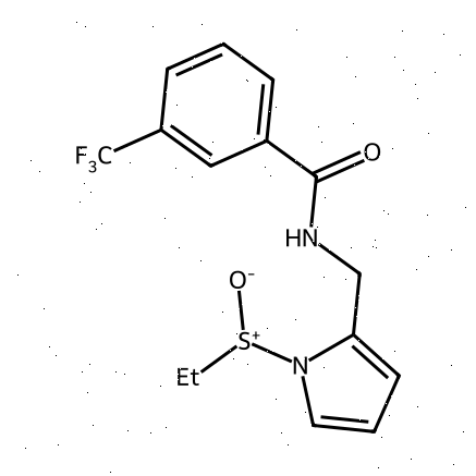 CC[S+]([O-])n1cccc1CNC(=O)c1cccc(C(F)(F)F)c1